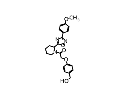 COc1ccc(-c2noc(C3CCCCN3C(=O)COc3ccc(CO)cc3)n2)cc1